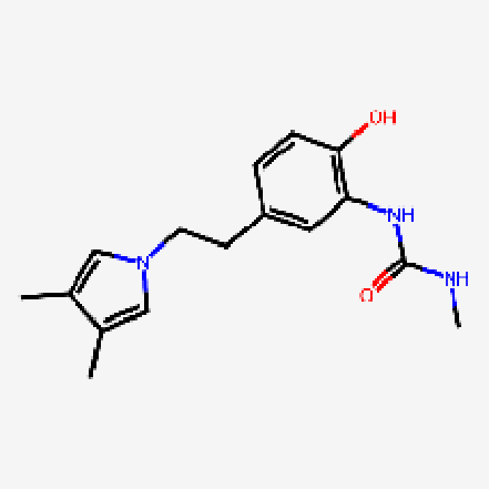 CNC(=O)Nc1cc(CCn2cc(C)c(C)c2)ccc1O